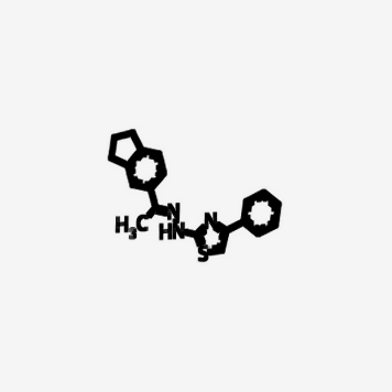 CC(=NNc1nc(-c2ccccc2)cs1)c1ccc2c(c1)CCC2